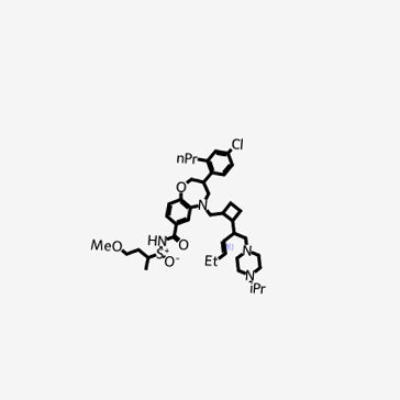 CC/C=C/C(CN1CCN(C(C)C)CC1)C1CCC1CN1CC(c2ccc(Cl)cc2CCC)COc2ccc(C(=O)N[S+]([O-])C(C)CCOC)cc21